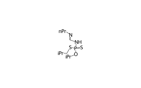 CCCN=CNP(=S)(OC(C)C)SCC(C)C